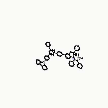 N=C(/C(=C1\NC(c2ccccc2)=Cc2cc(-c3ccc(-c4nc(-c5ccccc5)cc(-c5ccc(-n6c7ccccc7c7ccccc76)cc5)n4)cc3)ccc21)c1ccccc1)c1ccccc1